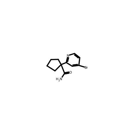 NC(=O)C1(c2cc(Br)ccn2)CCCC1